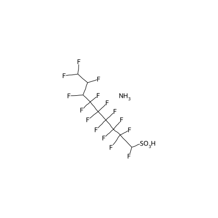 N.O=S(=O)(O)C(F)C(F)(F)C(F)(F)C(F)(F)C(F)(F)C(F)(F)C(F)C(F)C(F)F